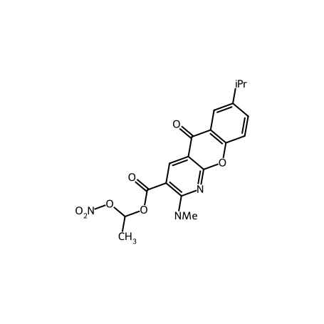 CNc1nc2oc3ccc(C(C)C)cc3c(=O)c2cc1C(=O)OC(C)O[N+](=O)[O-]